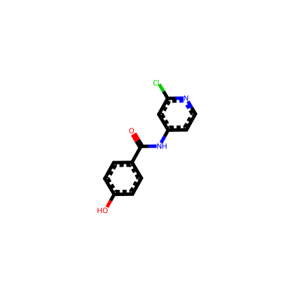 O=C(Nc1ccnc(Cl)c1)c1ccc(O)cc1